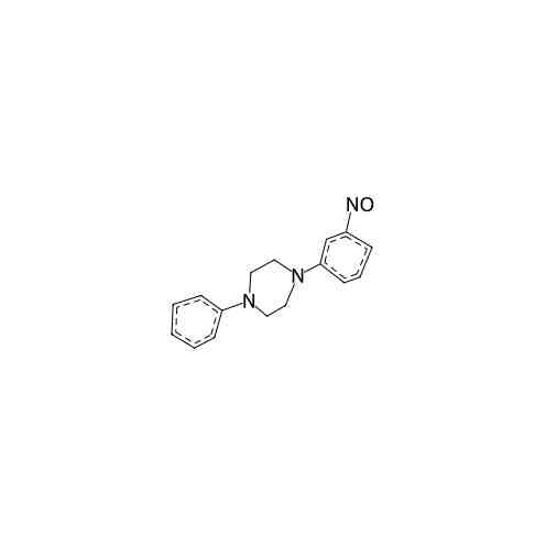 O=Nc1cccc(N2CCN(c3ccccc3)CC2)c1